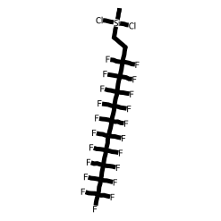 C[Si](Cl)(Cl)CCC(F)(F)C(F)(F)C(F)(F)C(F)(F)C(F)(F)C(F)(F)C(F)(F)C(F)(F)C(F)(F)C(F)(F)F